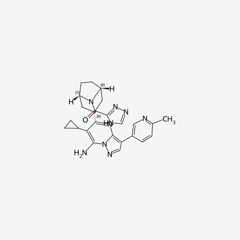 Cc1ccc(-c2cnn3c(N)c(C4CC4)c([C@H]4C[C@H]5CC[C@@H](C4)N5C(=O)c4nnc[nH]4)nc23)cn1